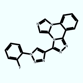 Fc1ccccc1-n1cc(-c2nnc3c4ccccc4n4cncc4n23)nn1